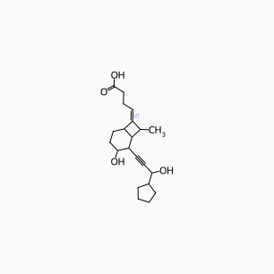 CC1/C(=C/CCC(=O)O)C2CCC(O)C(C#CC(O)C3CCCC3)C12